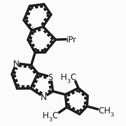 Cc1cc(C)c(-c2nc3ccnc(-c4cc(C(C)C)c5ccccc5c4)c3s2)c(C)c1